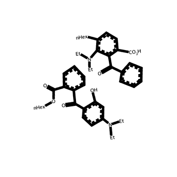 CCCCCCOC(=O)c1ccccc1C(=O)c1ccc(N(CC)CC)cc1O.CCCCCCc1ccc(C(=O)O)c(C(=O)c2ccccc2)c1N(CC)CC